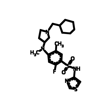 Cc1cc(S(=O)(=O)Nc2cscn2)c(F)cc1N(C)C1CCN(CC2CCCCC2)C1